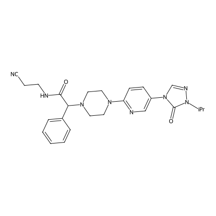 CC(C)n1ncn(-c2ccc(N3CCN(C(C(=O)NCCC#N)c4ccccc4)CC3)nc2)c1=O